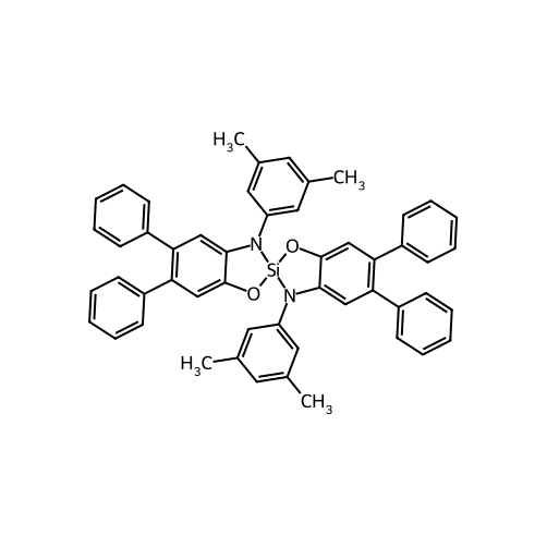 Cc1cc(C)cc(N2c3cc(-c4ccccc4)c(-c4ccccc4)cc3O[Si]23Oc2cc(-c4ccccc4)c(-c4ccccc4)cc2N3c2cc(C)cc(C)c2)c1